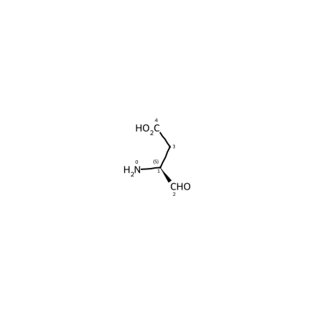 N[C@H](C=O)CC(=O)O